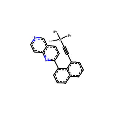 CC(C)[Si](C#Cc1cccc2cccc(-c3ccc4cnccc4n3)c12)(C(C)C)C(C)C